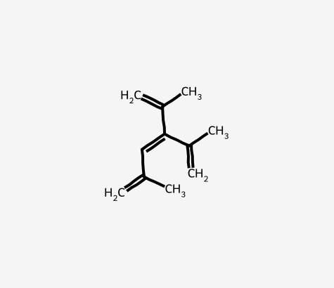 C=C(C)C=C(C(=C)C)C(=C)C